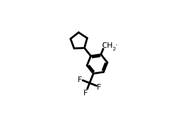 [CH2]c1ccc(C(F)(F)F)cc1C1CCCC1